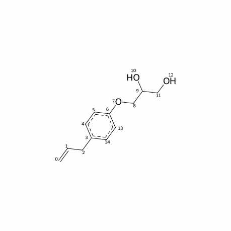 C=CCc1ccc(OCC(O)CO)cc1